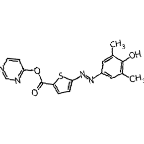 Cc1cc(/N=N/c2ccc(C(=O)Oc3ccncn3)s2)cc(C)c1O